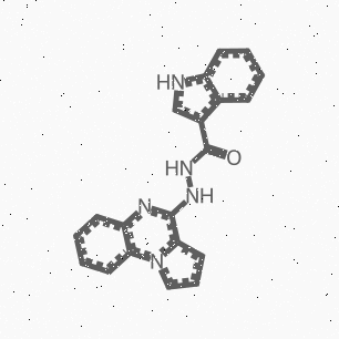 O=C(NNc1nc2ccccc2n2cccc12)c1c[nH]c2ccccc12